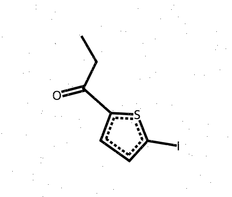 CCC(=O)c1ccc(I)s1